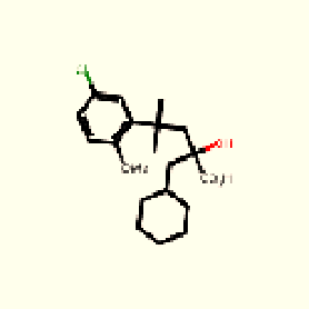 COc1ccc(Cl)cc1C(C)(C)CC(O)(CC1CCCCC1)C(=O)O